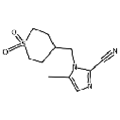 Cc1cnc(C#N)n1CC1CCS(=O)(=O)CC1